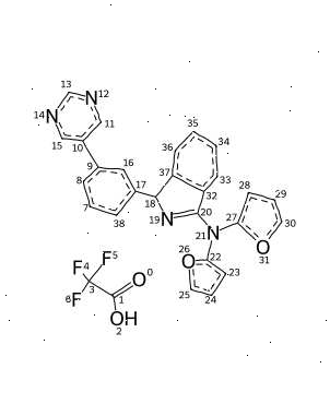 O=C(O)C(F)(F)F.c1cc(-c2cncnc2)cc(C2N=C(N(c3ccco3)c3ccco3)c3ccccc32)c1